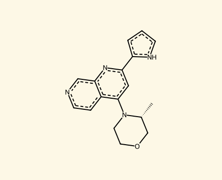 C[C@@H]1COCCN1c1cc(-c2ccc[nH]2)nc2cnccc12